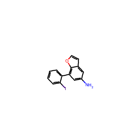 Nc1cc(-c2ccccc2I)c2occc2c1